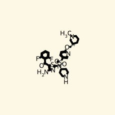 CN1CCC[C@H](COc2ccc(S(=O)(=O)N(c3nc(N)c(C(=O)c4c(F)cccc4F)s3)C3CCNCC3)cn2)C1